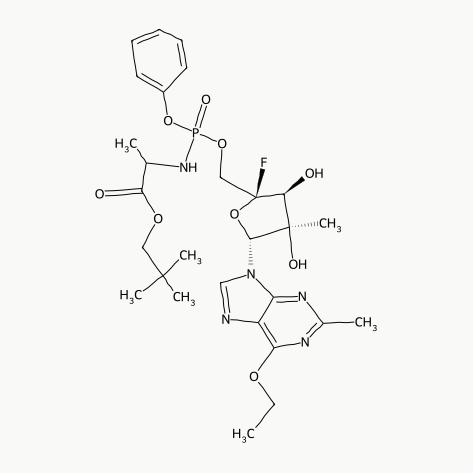 CCOc1nc(C)nc2c1ncn2[C@@H]1O[C@](F)(COP(=O)(NC(C)C(=O)OCC(C)(C)C)Oc2ccccc2)[C@@H](O)[C@@]1(C)O